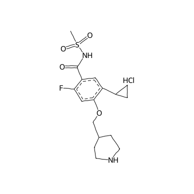 CS(=O)(=O)NC(=O)c1cc(C2CC2)c(OCC2CCNCC2)cc1F.Cl